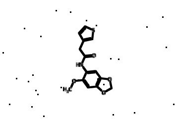 COc1cc2c(cc1NC(=O)Cc1ccsc1)OCO2